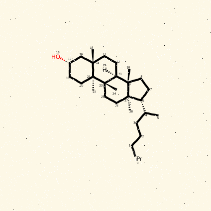 CC(C)CCCC(C)[C@H]1CC[C@@]2(C)[C@@H]3CC[C@@]4(C)C[C@@H](O)CC[C@]4(C)[C@@]3(C)CC[C@]12C